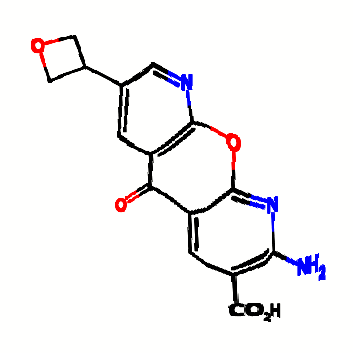 Nc1nc2oc3ncc(C4COC4)cc3c(=O)c2cc1C(=O)O